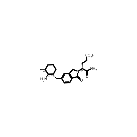 C[C@H]1CCC[C@H](Cc2ccc3c(c2)CN([C@@H](CCC(=O)O)C(N)=O)C3=O)[C@H]1N